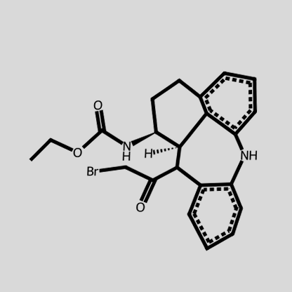 CCOC(=O)N[C@H]1CCc2cccc3c2[C@H]1C(C(=O)CBr)c1ccccc1N3